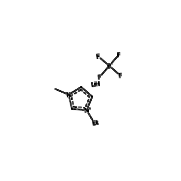 CC[n+]1ccn(C)c1.F[B-](F)(F)F.[LiH]